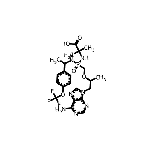 CC(Cn1cnc2c(N)ncnc21)OCP(=O)(NC(C)c1ccc(OC(F)(F)F)cc1)NC(C)(C)C(=O)O